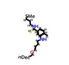 CCCCCCCCCCCOCCCCNc1cc(C(=S)NCCCSC)ccc1C